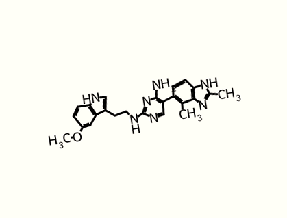 COc1ccc2[nH]cc(CCNc3ncc(-c4ccc5[nH]c(C)nc5c4C)c(N)n3)c2c1